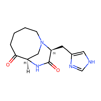 O=C1CCCCN2C[C@H]1NC(=O)[C@@H]2Cc1c[nH]cn1